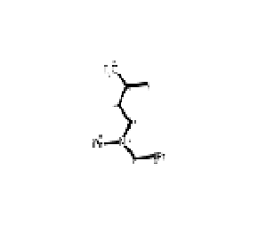 CC(C)CN(CCC(C)C(F)(F)F)C(C)C